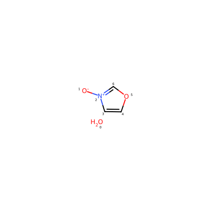 O.[O-][n+]1ccoc1